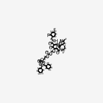 CC1=NO[C@@]2(CC[C@H](C)N3C[C@H]2n2cc(C(=O)NCc4ccc(F)cc4F)c(=O)c(OCOC(=O)OCCOP(=O)(OCc4ccccc4)OCc4ccccc4)c2C3=O)C1